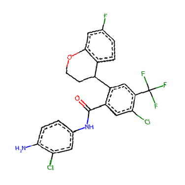 Nc1ccc(NC(=O)c2cc(Cl)c(C(F)(F)F)cc2C2CCOc3cc(F)ccc32)cc1Cl